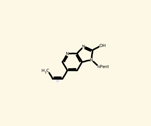 C/C=C\c1cnc2nc(O)n(CCCCC)c2c1